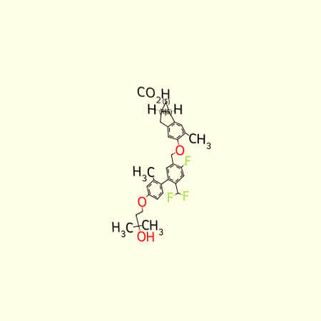 Cc1cc2c(cc1OCc1cc(-c3ccc(OCCC(C)(C)O)cc3C)c(C(F)F)cc1F)C[C@H]1[C@H](C(=O)O)[C@@H]21